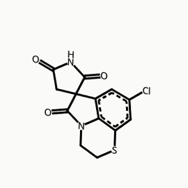 O=C1CC2(C(=O)N1)C(=O)N1CCSc3cc(Cl)cc2c31